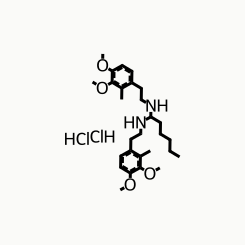 CCCCCC(NCCc1ccc(OC)c(OC)c1C)NCCc1ccc(OC)c(OC)c1C.Cl.Cl